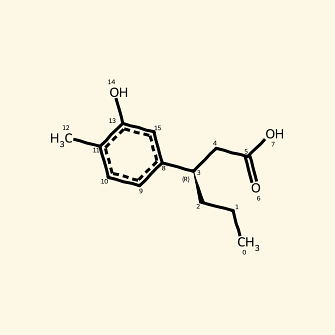 CCC[C@H](CC(=O)O)c1ccc(C)c(O)c1